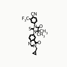 CC1(C)C(=O)N(c2ccc(C#N)c(C(F)(F)F)c2)C(=S)N1c1ccc2ncn(CC3CC3)c(=O)c2c1